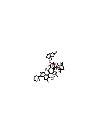 Cc1cc2c(o1)c(-c1c(Cl)c(C)cc3c1cnn3C1CCCCO1)c(F)c1nc(OC[C@@]34CCCN3C[C@H](F)C4)nc(N3C[C@H]4CC[C@@H](C3)N4C(=O)OC(C)(C)C)c12